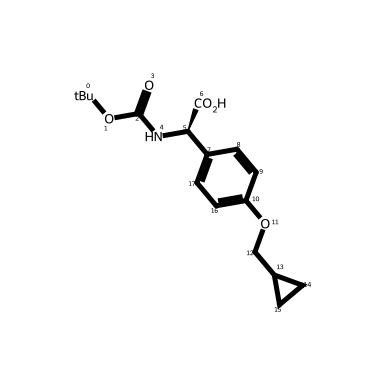 CC(C)(C)OC(=O)N[C@@H](C(=O)O)c1ccc(OCC2CC2)cc1